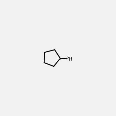 [2H][C]1CCCC1